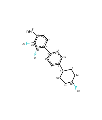 CCCc1ccc(-c2ccc(C3CCC(F)CC3)cc2)c(F)c1F